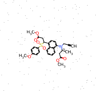 C#CCN(c1ccc(C(CC(=O)OC)S(=O)(=O)c2ccc(OC)cc2)c2ccccc12)[C@@H](C)CC(=O)OC